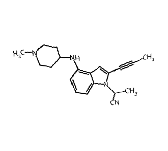 CC#Cc1cc2c(NC3CCN(C)CC3)cccc2n1C(C)C#N